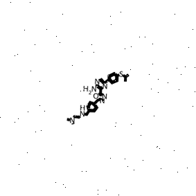 CC(C)Sc1ccc(-c2cnc(N)c(-c3nnc(-c4ccc(CNCCN(C)C)cc4)o3)n2)cc1